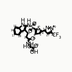 Cn1nc(-c2ccc(S(=O)(=O)Nc3[nH]c4ccccc4c3CCC(N)=O)s2)cc1C(F)(F)F.O=S(O)O